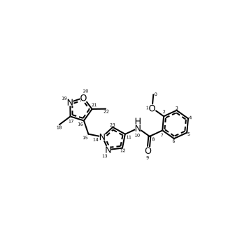 COc1ccccc1C(=O)Nc1cnn(Cc2c(C)noc2C)c1